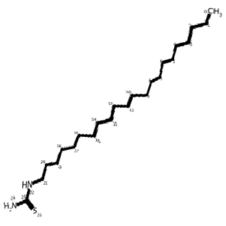 CCCCCCCCCCCCCCCCCCCCCCNC(N)=S